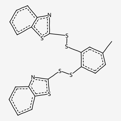 Cc1ccc(SSc2nc3ccccc3s2)c(SSc2nc3ccccc3s2)c1